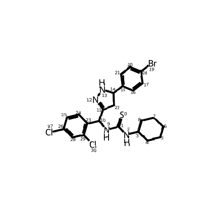 S=C(NC1CCCCC1)NC(C1=NNC(c2ccc(Br)cc2)C1)c1ccc(Cl)cc1Cl